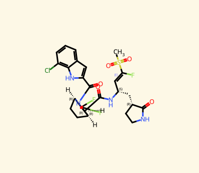 CS(=O)(=O)/C(F)=C/[C@H](C[C@H]1CCNC1=O)NC(=O)[C@H]1[C@H]2CC[C@H](CC2(F)F)N1C(=O)c1cc2cccc(Cl)c2[nH]1